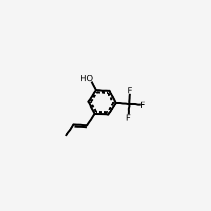 C/C=C/c1cc(O)cc(C(F)(F)F)c1